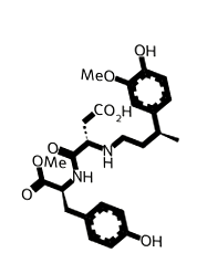 COC(=O)[C@H](Cc1ccc(O)cc1)NC(=O)[C@H](CC(=O)O)NCC[C@H](C)c1ccc(O)c(OC)c1